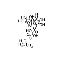 C[N+](C)(C)CCOC(=O)C(O)C(O)C(=O)OC[C@H]1O[C@H](O[C@]2(CO)O[C@H](CO)[C@@H](O)[C@@H]2O)[C@H](O)[C@@H](O)[C@@H]1O